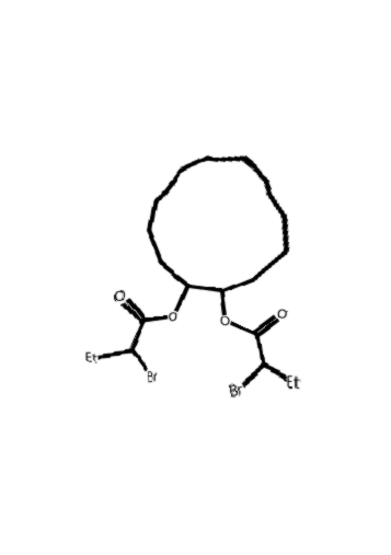 CCC(Br)C(=O)OC1CCCCCCCCCCC1OC(=O)C(Br)CC